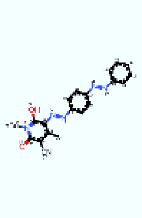 CCCCn1c(O)c(N=Nc2ccc(N=Nc3ccccc3)cc2)c(C)c(C#N)c1=O